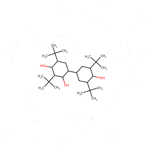 CC(C)(C)C1CC(C2CC(C(C)(C)C)C(O)C(C(C)(C)C)C2O)CC(C(C)(C)C)C1O